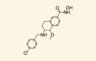 COC1c2ccc(C(=O)NO)cc2CCC1NCc1ccc(Cl)cc1